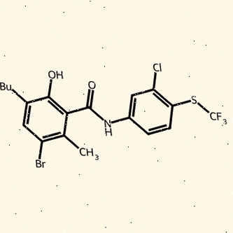 Cc1c(Br)cc(C(C)(C)C)c(O)c1C(=O)Nc1ccc(SC(F)(F)F)c(Cl)c1